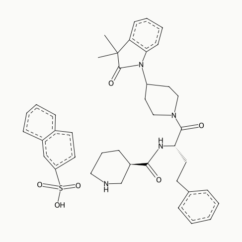 CC1(C)C(=O)N(C2CCN(C(=O)[C@H](CCc3ccccc3)NC(=O)[C@@H]3CCCNC3)CC2)c2ccccc21.O=S(=O)(O)c1ccc2ccccc2c1